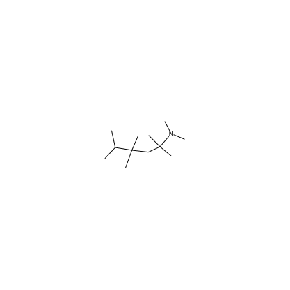 CC(C)C(C)(C)CC(C)(C)N(C)C